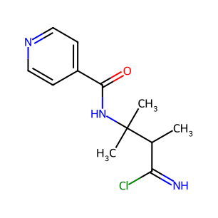 CC(C(=N)Cl)C(C)(C)NC(=O)c1ccncc1